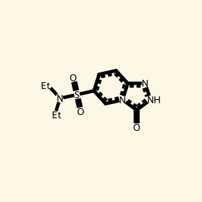 CCN(CC)S(=O)(=O)c1ccc2n[nH]c(=O)n2c1